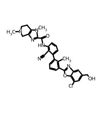 Cc1c(-c2nc3cc(CO)cc(Cl)c3o2)cccc1-c1cccc(NC(=O)c2nc3c(n2C)CCN(C)C3)c1C#N